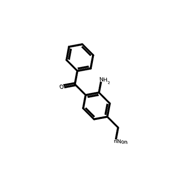 CCCCCCCCCCc1ccc(C(=O)c2ccccc2)c(N)c1